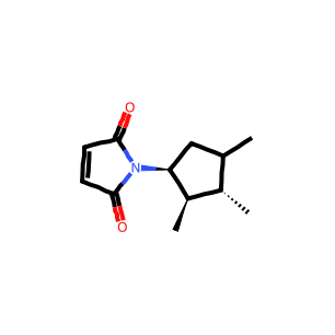 CC1C[C@H](N2C(=O)C=CC2=O)[C@H](C)[C@H]1C